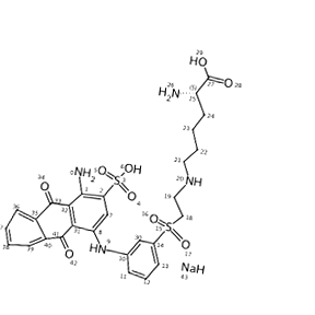 Nc1c(S(=O)(=O)O)cc(Nc2cccc(S(=O)(=O)CCNCCCC[C@H](N)C(=O)O)c2)c2c1C(=O)c1ccccc1C2=O.[NaH]